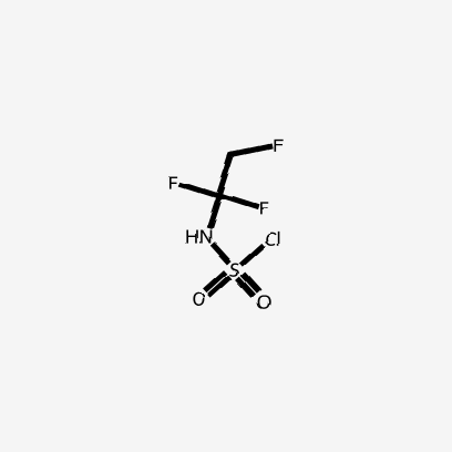 O=S(=O)(Cl)NC(F)(F)CF